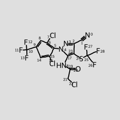 N#Cc1nn(-c2c(Cl)cc(C(F)(F)F)cc2Cl)c(NC(=O)CCl)c1SC(F)(F)F